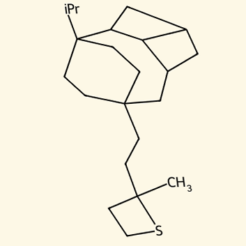 CC(C)C12CCC(CCC3(C)CCS3)(CC1)CC1CC3CC2C31